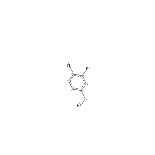 Fc1cc(CS)ccc1Cl